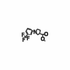 COC(=O)C1CCN(c2cccc(C(F)(F)F)c2)C1